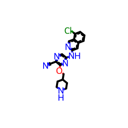 N#Cc1ncc(Nc2cc3cccc(Cl)c3cn2)nc1OCC1CCNCC1